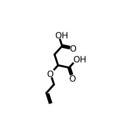 C=CCOC(CC(=O)O)C(=O)O